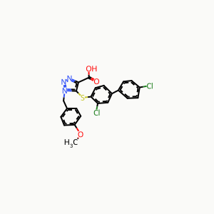 COc1ccc(Cn2nnc(C(=O)O)c2Sc2ccc(-c3ccc(Cl)cc3)cc2Cl)cc1